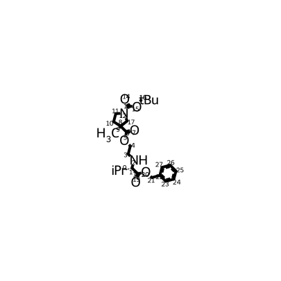 CC(C)[C@H](NCCOC(=O)C1(C)CCN(C(=O)OC(C)(C)C)C1)C(=O)OCc1ccccc1